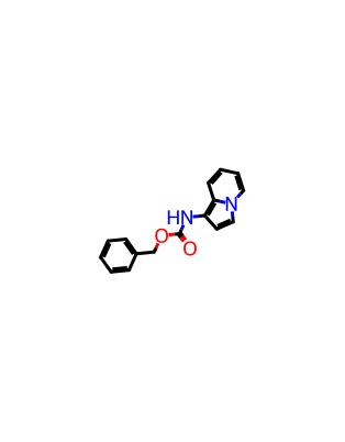 O=C(Nc1ccn2ccccc12)OCc1ccccc1